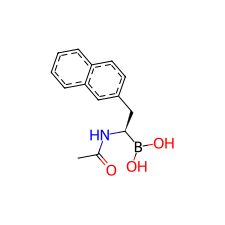 CC(=O)N[C@@H](Cc1ccc2ccccc2c1)B(O)O